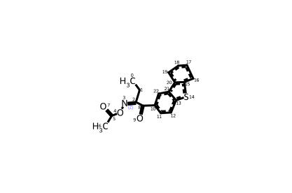 CC/C(=N/OC(C)=O)C(=O)c1ccc2sc3ccccc3c2c1